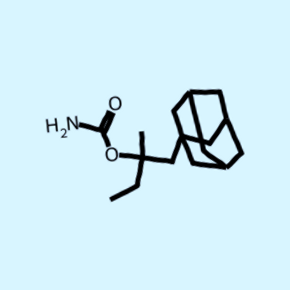 CCC(C)(CC12CC3CC(CC(C3)C1)C2)OC(N)=O